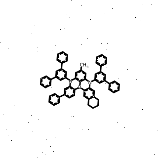 Cc1cc2c3c(c1)N(c1cc(-c4ccccc4)cc(-c4ccccc4)c1)c1cc4c(cc1B3c1ccc(-c3ccccc3)cc1N2c1cc(-c2ccccc2)cc(-c2ccccc2)c1)CCCC4